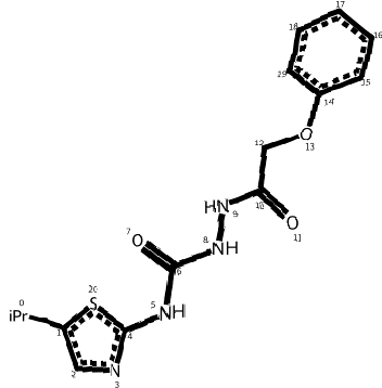 CC(C)c1cnc(NC(=O)NNC(=O)COc2ccccc2)s1